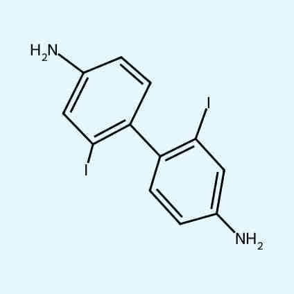 Nc1ccc(-c2ccc(N)cc2I)c(I)c1